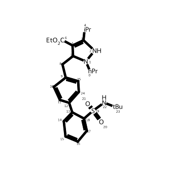 CCCN1NC(C(C)C)=C(C(=O)OCC)C1Cc1ccc(-c2ccccc2S(=O)(=O)NC(C)(C)C)cc1